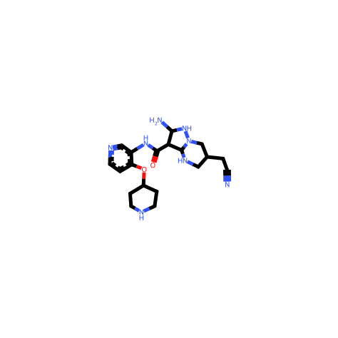 N#CCC1CNC2C(C(=O)Nc3cnccc3OC3CCNCC3)C(N)NN2C1